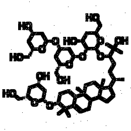 C[C@H](CC[C@@H](O[C@@H]1O[C@H](CO)C[C@H](O)[C@H]1O[C@H]1C[C@@H](O[C@H]2C[C@@H](O)C[C@@H](CO)O2)C[C@@H](CO)O1)C(C)(C)O)C1CCC2C3CC=C4C(CC[C@H](O[C@H]5C[C@@H](O)C[C@@H](CO)O5)C4(C)C)[C@]3(C)CC[C@@]21C